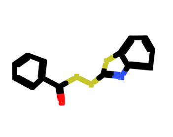 O=C(SSc1nc2ccccc2s1)c1ccccc1